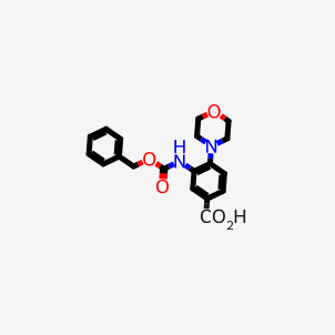 O=C(Nc1cc(C(=O)O)ccc1N1CCOCC1)OCc1ccccc1